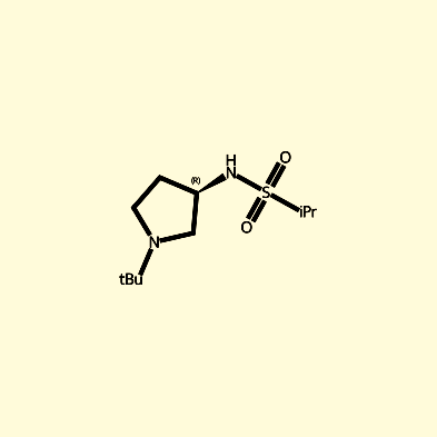 CC(C)S(=O)(=O)N[C@@H]1CCN(C(C)(C)C)C1